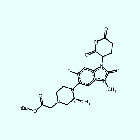 C[C@H]1CN(CC(=O)OC(C)(C)C)CCN1c1cc2c(cc1F)n(C1CCC(=O)NC1=O)c(=O)n2C